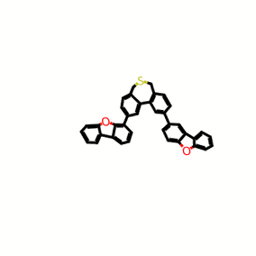 c1ccc2c(c1)oc1ccc(-c3ccc4c(c3)-c3cc(-c5cccc6c5oc5ccccc56)ccc3CSC4)cc12